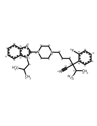 CC(C)Cn1c(N2CCN(CCCC(C#N)(c3ccccc3F)C(C)C)CC2)nc2ccccc21